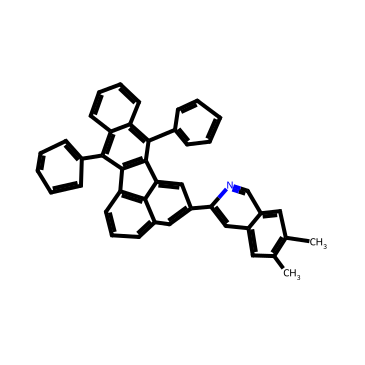 Cc1cc2cnc(-c3cc4c5c(cccc5c3)-c3c-4c(-c4ccccc4)c4ccccc4c3-c3ccccc3)cc2cc1C